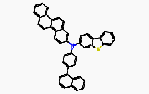 c1ccc2c(-c3ccc(N(c4ccc5c(ccc6c7ccccc7ccc56)c4)c4ccc5c(c4)sc4ccccc45)cc3)cccc2c1